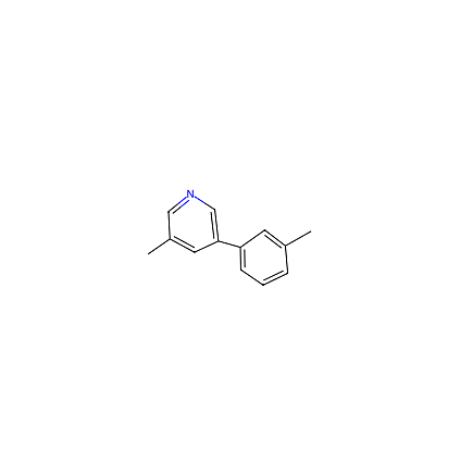 Cc1cccc(-c2cncc(C)c2)c1